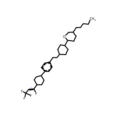 CCCCCC1CCC(C2CCC(CCc3ccc(C4CCC(/C(F)=C/C(F)(F)F)CC4)cc3)CC2)OC1